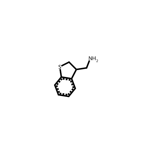 NCC1CSc2ccccc21